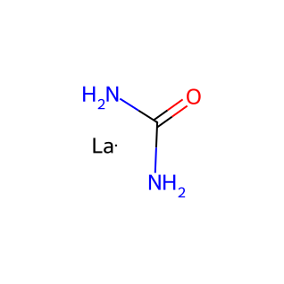 NC(N)=O.[La]